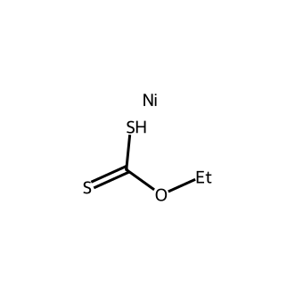 CCOC(=S)S.[Ni]